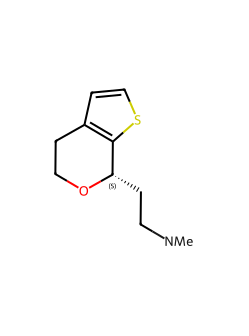 CNCC[C@@H]1OCCc2ccsc21